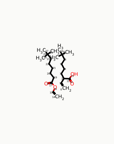 C=CC(CCCCC(C)(C)C)C(=O)O.C=COC(=O)CCCCCC(C)(C)C